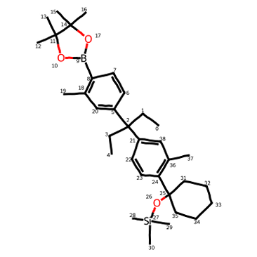 CCC(CC)(c1ccc(B2OC(C)(C)C(C)(C)O2)c(C)c1)c1ccc(C2(O[Si](C)(C)C)CCCCC2)c(C)c1